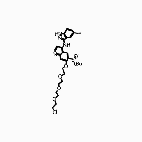 CC(C)(C)[S+]([O-])c1cc2c(Nc3n[nH]c4ccc(F)cc34)ccnc2cc1OCCOCCOCCOCCCl